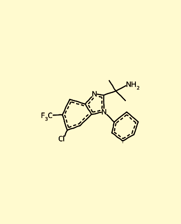 CC(C)(N)c1nc2cc(C(F)(F)F)c(Cl)cc2n1-c1c[c]ccc1